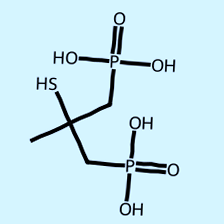 CC(S)(CP(=O)(O)O)CP(=O)(O)O